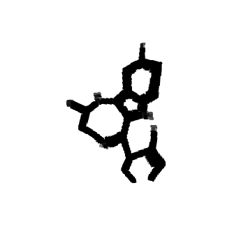 C/C=C(C1=NCC(=O)Nc2c1[nH]c1ccc(F)cc21)\C(F)=C/C